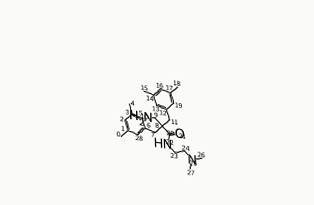 Cc1cc(C)cc(CC(CN)(Cc2cc(C)cc(C)c2)C(=O)NCCN(C)C)c1